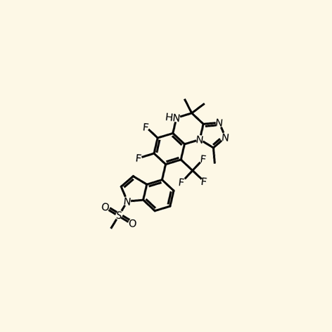 Cc1nnc2n1-c1c(c(F)c(F)c(-c3cccc4c3ccn4S(C)(=O)=O)c1C(F)(F)F)NC2(C)C